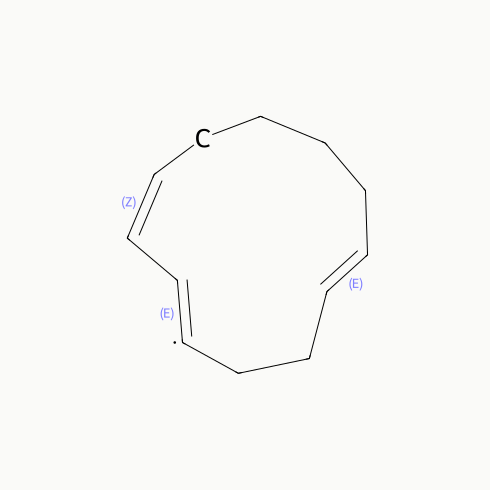 [C]1=C/C=C\CCCC/C=C/CC/1